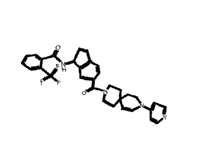 O=C(NC1CCc2ccc(C(=O)N3CCC4(CC3)CCN(c3ccncc3)CC4)cc21)c1ccccc1C(F)(F)F